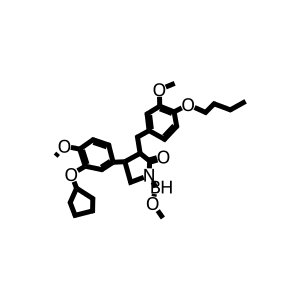 CCCCOc1ccc(CC2C(=O)N(BOC)CC2c2ccc(OC)c(OC3CCCC3)c2)cc1OC